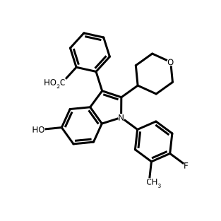 Cc1cc(-n2c(C3CCOCC3)c(-c3ccccc3C(=O)O)c3cc(O)ccc32)ccc1F